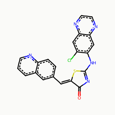 O=C1N=C(Nc2cc3nccnc3cc2Cl)SC1=Cc1ccc2ncccc2c1